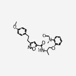 COc1ccc(CCc2cc(C(=O)NC(C)COc3ccccc3N(C)C=O)on2)cc1